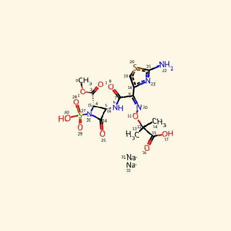 COC(=O)[C@@H]1[C@H](NC(=O)C(=NOC(C)(C)C(=O)O)c2csc(N)n2)C(=O)N1S(=O)(=O)O.[Na].[Na]